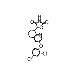 O=C1NC(=O)C([C@@H]2CCCc3cc(Oc4ccc(Cl)cc4Cl)cnc32)O1